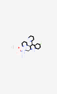 CC(C)(C)OC(=O)NCCc1nc2ccc(F)cc2c(-c2ccccn2)c1-c1ccccn1